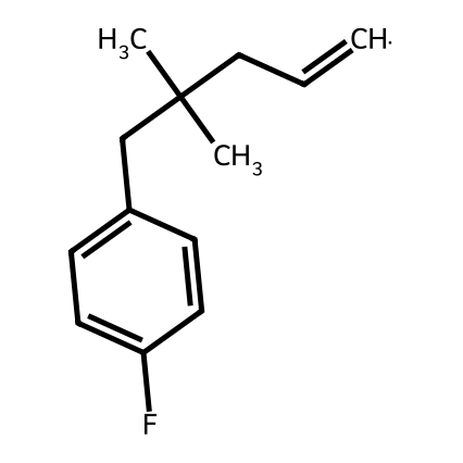 [CH]=CCC(C)(C)Cc1ccc(F)cc1